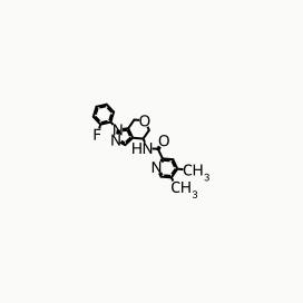 Cc1cnc(C(=O)NC2COCc3c2cnn3-c2ccccc2F)cc1C